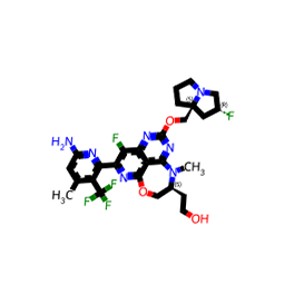 Cc1cc(N)nc(-c2nc3c4c(nc(OC[C@@]56CCCN5C[C@H](F)C6)nc4c2F)N(C)[C@@H](CCO)CO3)c1C(F)(F)F